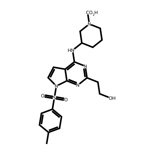 Cc1ccc(S(=O)(=O)n2ccc3c(NC4CCCN(C(=O)O)C4)nc(CCO)nc32)cc1